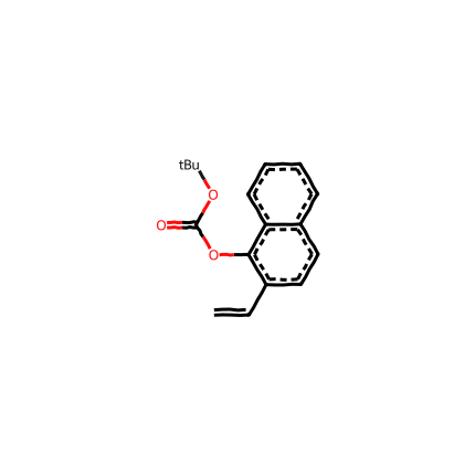 C=Cc1ccc2ccccc2c1OC(=O)OC(C)(C)C